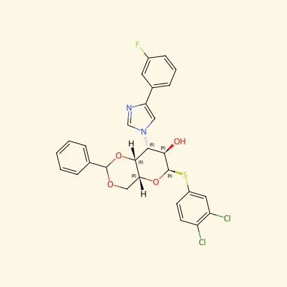 O[C@@H]1[C@@H](n2cnc(-c3cccc(F)c3)c2)[C@H]2OC(c3ccccc3)OC[C@H]2O[C@@H]1Sc1ccc(Cl)c(Cl)c1